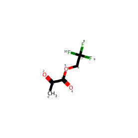 CC(=O)C(=O)OCC(F)(F)F